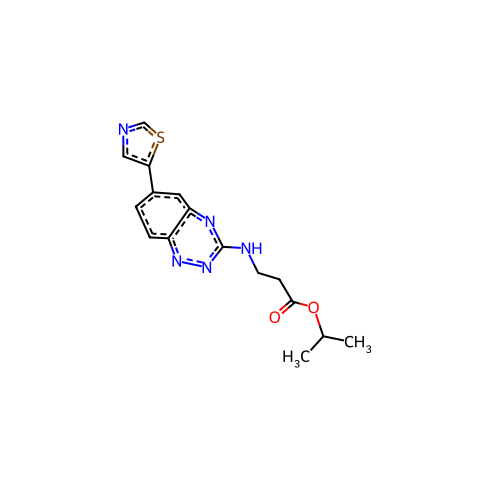 CC(C)OC(=O)CCNc1nnc2ccc(-c3cncs3)cc2n1